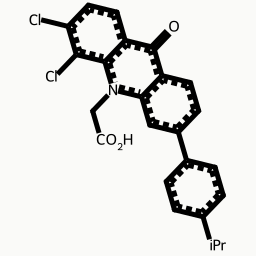 CC(C)c1ccc(-c2ccc3c(=O)c4ccc(Cl)c(Cl)c4n(CC(=O)O)c3c2)cc1